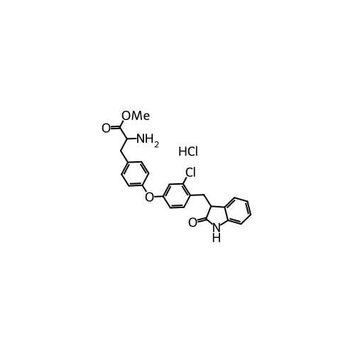 COC(=O)C(N)Cc1ccc(Oc2ccc(CC3C(=O)Nc4ccccc43)c(Cl)c2)cc1.Cl